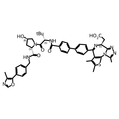 Cc1ncoc1-c1ccc(CNC(=O)[C@@H]2C[C@@H](O)CN2C(=O)[C@@H](NC(=O)c2ccc(-c3ccc(C4=N[C@@H](CC(=O)O)c5nnc(C)n5-c5sc(C)c(C)c54)cc3)cc2)C(C)(C)C)cc1